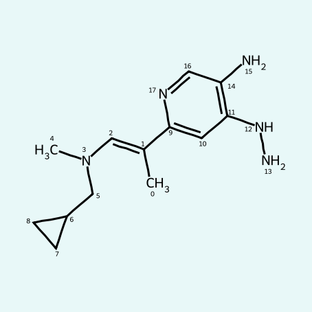 C/C(=C\N(C)CC1CC1)c1cc(NN)c(N)cn1